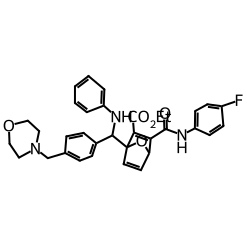 CCOC(=O)C1=C(C(=O)Nc2ccc(F)cc2)C2C=CC1(C(Nc1ccccc1)c1ccc(CN3CCOCC3)cc1)O2